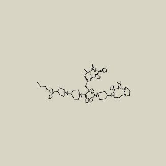 CCCCOC(=O)C1CCN(C2CCN(C(=O)[C@@H](Cc3cc(C)c4c(c3)oc(=O)n4C)OC(=O)N3CCC(N4CCc5ccccc5NC4=O)CC3)CC2)CC1